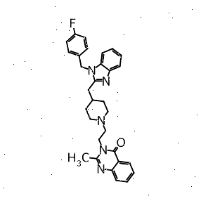 Cc1nc2ccccc2c(=O)n1CCN1CCC(Cc2nc3ccccc3n2Cc2ccc(F)cc2)CC1